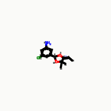 C/C=C1/OB(c2cc(N)cc(Cl)c2)OC1(C)C